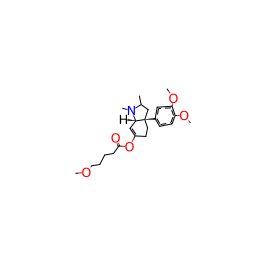 COCCCCC(=O)OC1=C[C@@H]2N(C)C(C)C[C@]2(c2ccc(OC)c(OC)c2)CC1